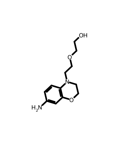 Nc1ccc2c(c1)OCCN2CCOCCO